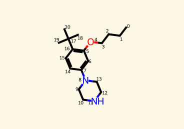 CCCCOc1cc(N2CCNCC2)ccc1C(C)(C)C